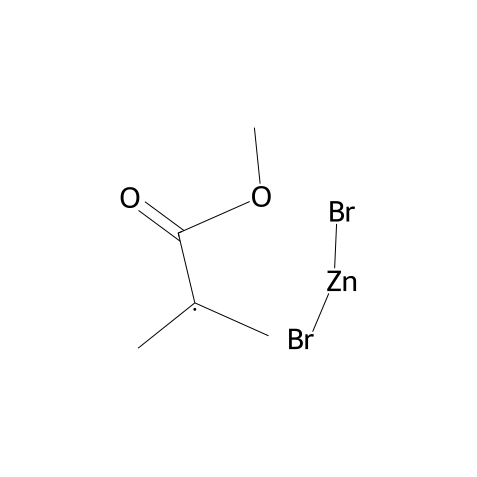 COC(=O)[C](C)C.[Br][Zn][Br]